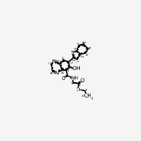 CCOC(=O)CNC(=O)c1c(O)c(-c2cc3ccccc3s2)cc2nccnc12